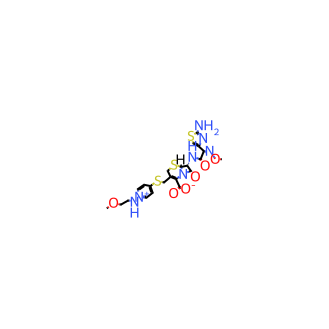 COCCN[n+]1ccc(SCC2=C(C(=O)[O-])N3C(=O)[C@@H](NC(=O)/C(=N\OC)c4csc(N)n4)[C@H]3SC2)cc1